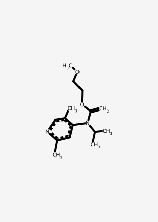 C=C(OCCOC)N(c1cc(C)ncc1C)C(C)C